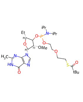 CC[C@H]1O[C@@H](n2cnc3c(=O)[nH]c(C)nc32)[C@@H](OC)C1OP(OCCOCCSC(=O)C(C)(C)C)N(C(C)C)C(C)C